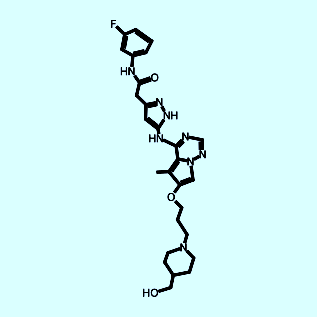 Cc1c(OCCCN2CCC(CO)CC2)cn2ncnc(Nc3cc(CC(=O)Nc4cccc(F)c4)n[nH]3)c12